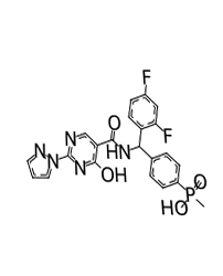 CP(=O)(O)c1ccc(C(NC(=O)c2cnc(-n3cccn3)nc2O)c2ccc(F)cc2F)cc1